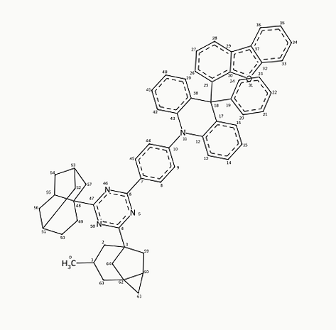 CC1CC2(c3nc(-c4ccc(N5c6ccccc6C(c6ccccc6)(c6cccc7c6oc6ccccc67)c6ccccc65)cc4)nc(C45CCC6CC(CC4C6)C5)n3)CC3CC3(C1)C2